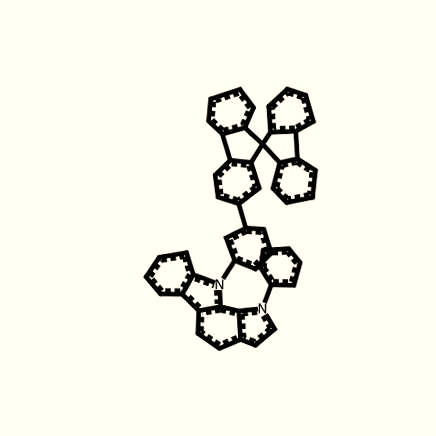 c1ccc(-n2ccc3ccc4c5ccccc5n(-c5cccc(-c6ccc7c(c6)C6(c8ccccc8-c8ccccc86)c6ccccc6-7)c5)c4c32)cc1